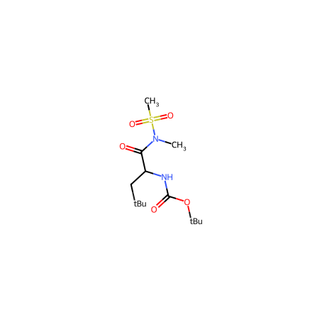 CN(C(=O)C(CC(C)(C)C)NC(=O)OC(C)(C)C)S(C)(=O)=O